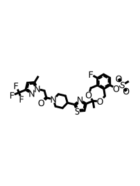 Cc1cc(C(F)(F)F)nn1CC(=O)N1CCC(c2nc(C3(C)OCc4c(F)ccc(OS(C)(=O)=O)c4CO3)cs2)CC1